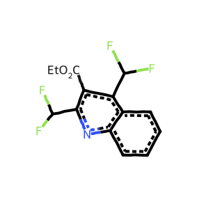 CCOC(=O)c1c(C(F)F)nc2ccccc2c1C(F)F